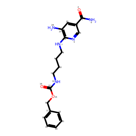 NC(=O)c1cnc(NCCCCNC(=O)OCc2ccccc2)c(N)c1